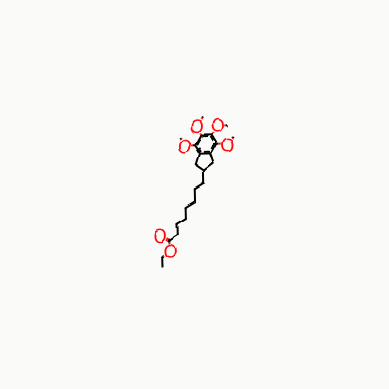 CCOC(=O)CCCCCCCC1Cc2c(c(OC)c(OC)c(OC)c2OC)C1